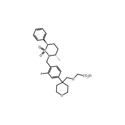 CCOC(=O)COCC1(c2ccc(CN3[C@@H](C)CC[C@H](c4ccccc4)S3(=O)=O)c(F)c2)CCOCC1